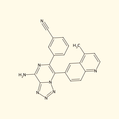 Cc1ccnc2ccc(-c3c(-c4cccc(C#N)c4)nc(N)c4nnnn34)cc12